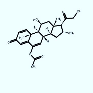 CC(=O)OC1=C[C@@H]2[C@H]([C@@H](O)C[C@@]3(C)[C@H]2C[C@@H](C)[C@@H]3C(=O)CO)[C@@]2(C)C=CC(=O)C=C12